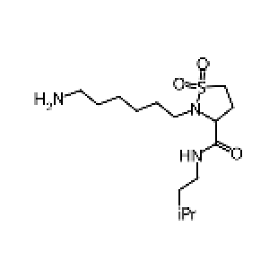 CC(C)CCNC(=O)C1CCS(=O)(=O)N1CCCCCCN